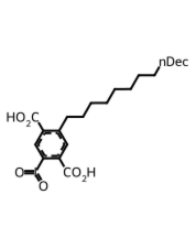 CCCCCCCCCCCCCCCCCCc1cc(C(=O)O)c(I(=O)=O)cc1C(=O)O